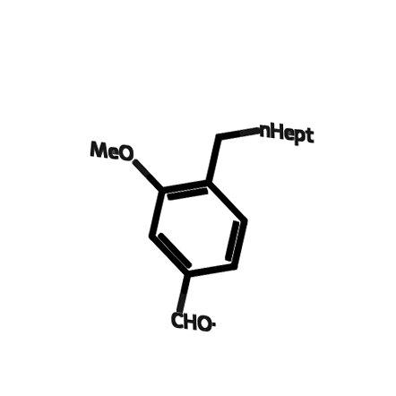 CCCCCCCCc1ccc([C]=O)cc1OC